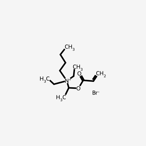 C=CC(=O)OC(C)[N+](CC)(CC)CCCC.[Br-]